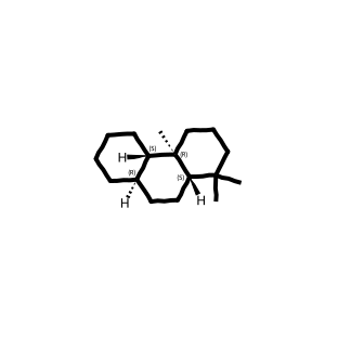 CC1(C)CCC[C@]2(C)[C@H]3CCCC[C@@H]3CC[C@@H]12